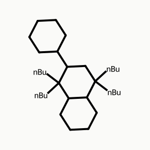 CCCCC1(CCCC)CC(C2CCCCC2)C(CCCC)(CCCC)C2CCCCC21